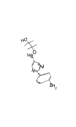 Bc1ccc(-c2ncc(BOC(C)(C)C(C)(C)O)cn2)cc1